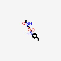 CCc1ccc(NC(=O)OCCNC(C)=O)cc1